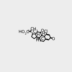 CC(C(=O)O)[C@H]1CC[C@H]2[C@@H]3CCC4=CC(=O)C=C(Cl)[C@]4(C)[C@H]3C(=O)C[C@]12C